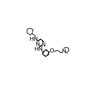 c1cc(Nc2nccc(NCC3CCCCC3)n2)cc(OCCCN2CCCC2)c1